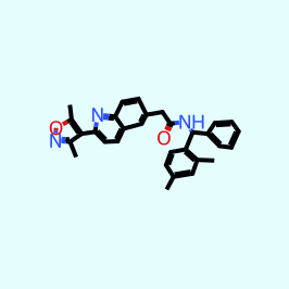 Cc1ccc(C(NC(=O)Cc2ccc3nc(-c4c(C)noc4C)ccc3c2)c2ccccc2)c(C)c1